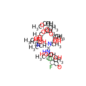 CC[C@H]1OC(=O)[C@H](C)[C@@H](O[C@@H]2C[C@](C)(OC)[C@H](C)C(C)O2)[C@H](C)[C@@H](O[C@@H]2O[C@H](C)C[C@@H](N(C)C)[C@H]2O)[C@@](O)(CC)CCCN(CCCNC(=O)[C@@]2(O)[C@H](C)CC3C4C[C@H](F)C5=CC(=O)C=C[C@]5(C)[C@@]4(Cl)[C@@H](O)C[C@@]32C)[C@H](C)[C@@H](O)[C@]1(C)O